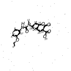 CCOc1cccc(NC(=O)N(C)c2cc3oc(=O)c(C(=O)OC)cc3s2)c1